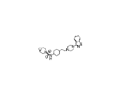 O=S(=O)(NC1CCC(CCN2CCN(c3nsc4ccccc34)CC2)CC1)N1CCOCC1